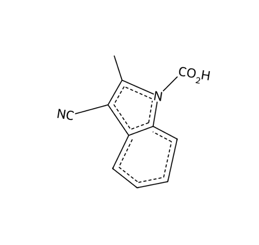 Cc1c(C#N)c2ccccc2n1C(=O)O